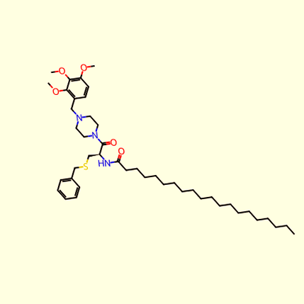 CCCCCCCCCCCCCCCCCCCC(=O)N[C@@H](CSCc1ccccc1)C(=O)N1CCN(Cc2ccc(OC)c(OC)c2OC)CC1